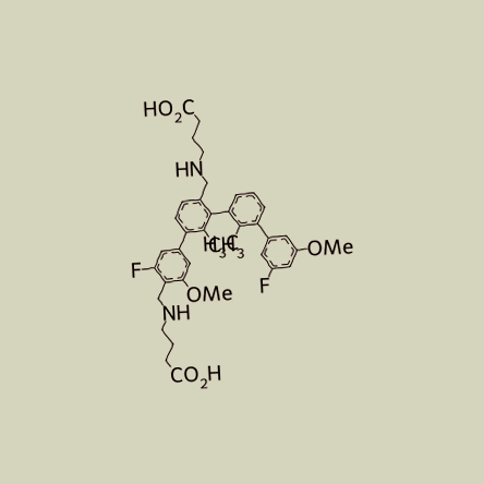 COc1cc(F)cc(-c2cccc(-c3c(CNCCCC(=O)O)ccc(-c4cc(F)c(CNCCCC(=O)O)c(OC)c4)c3C)c2C)c1